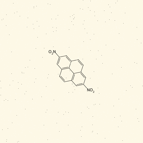 O=[N+]([O-])c1cc2ccc3cc([N+](=O)[O-])cc4ccc(c1)c2c34